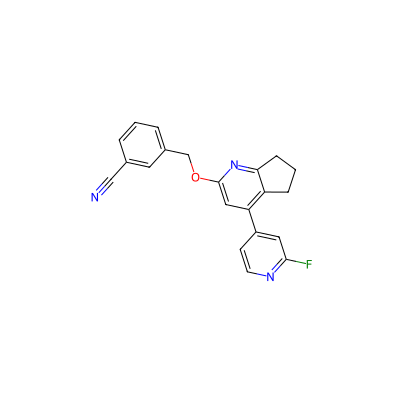 N#Cc1cccc(COc2cc(-c3ccnc(F)c3)c3c(n2)CCC3)c1